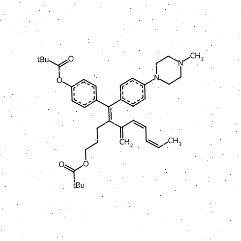 C=C(/C=C\C=C/C)/C(CCCOC(=O)C(C)(C)C)=C(/c1ccc(OC(=O)C(C)(C)C)cc1)c1ccc(N2CCN(C)CC2)cc1